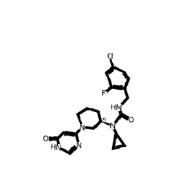 O=C(NCc1ccc(Cl)cc1F)N(C1CC1)[C@@H]1CCCN(c2cc(=O)[nH]cn2)C1